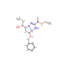 CCOC(=O)C1=NN2C(C(O)CC)CC(OCc3ccccc3)C2N1